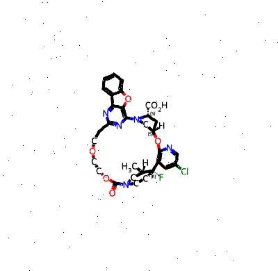 C[C@H]1CN2CC[C@]1(F)c1cc(Cl)cnc1O[C@H]1C[C@@H](C(=O)O)N(C1)c1nc(nc3c1oc1ccccc13)CCOCCOC2=O